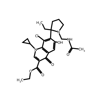 CCOC(=O)c1cn(C2CC2)c2c(Cl)c(C3(CC)CCCN3CNC(C)=O)c(O)cc2c1=O